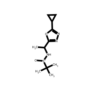 CC(N[S+]([O-])C(C)(C)C)c1nnc(C2CC2)o1